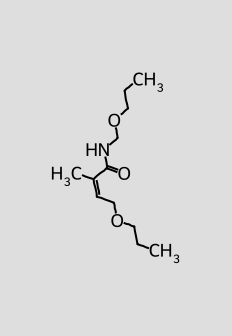 CCCOCC=C(C)C(=O)NCOCCC